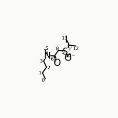 CCCCN(C)C(=O)C[S+]([O-])C(C)I